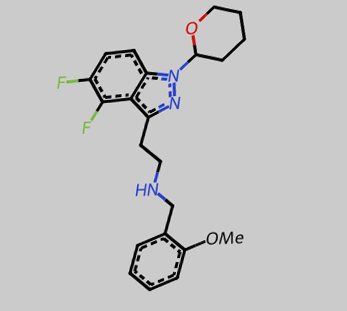 COc1ccccc1CNCCc1nn(C2CCCCO2)c2ccc(F)c(F)c12